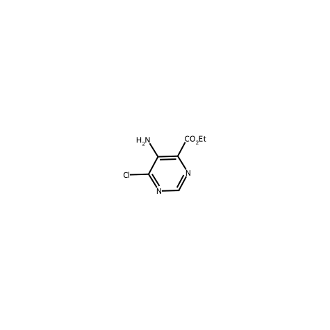 CCOC(=O)c1ncnc(Cl)c1N